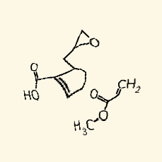 C=CC(=O)OC.O=C(O)C1=CCCC1CC1CO1